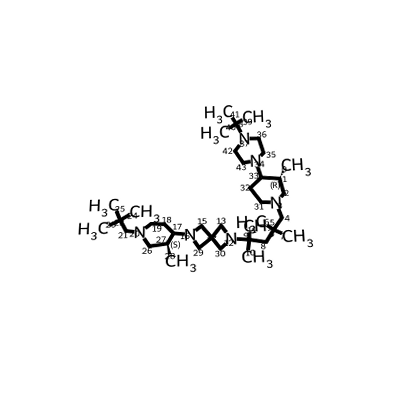 C[C@@H]1CN(CC(C)(C)CC(C)(C)N2CC3(CN(C4CCN(CC(C)(C)C)C[C@@H]4C)C3)C2)CCC1N1CCN(C(C)(C)C)CC1